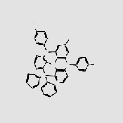 Cc1cc2c3c(c1)N(c1ccc(F)cc1)c1cccc4c1B3c1c(cccc1[Si]4(c1ccccc1)c1ccccc1)N2c1ccc(F)cc1